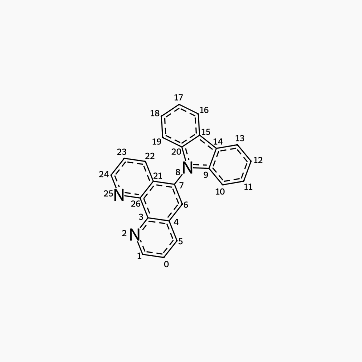 c1cnc2c(c1)cc(-n1c3ccccc3c3ccccc31)c1cccnc12